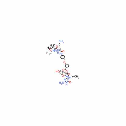 C=CCn1c(=O)n([C@@H]2O[C@H](CO)[C@H]3OC(c4cccc(OCc5ccc(NC(=O)[C@H](CCCCN)NC(=O)[C@@H](NC(C)=O)C(C)C)cc5)c4)O[C@H]32)c2nc(N)[nH]c(=O)c21